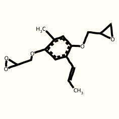 C/C=C/c1cc(OCC2OO2)c(C)cc1OCC1CO1